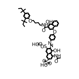 CCC(C)(C)c1ccc(OCCCCNC(=O)c2cc(Oc3ccc(/N=N/c4c(SOOO)cc5cc(S(=O)(=O)O)cc(NC(C)=O)c5c4O)cc3)c3ccccc3c2O)c(C(C)(C)CC)c1